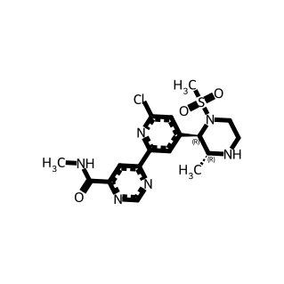 CNC(=O)c1cc(-c2cc([C@@H]3[C@@H](C)NCCN3S(C)(=O)=O)cc(Cl)n2)ncn1